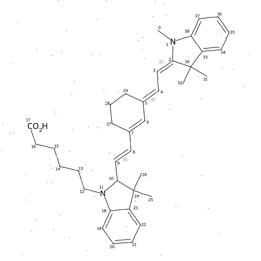 CN1/C(=C/C=C2C=C(/C=C/C3N(CCCCCC(=O)O)c4ccccc4C3(C)C)CCC/2)C(C)(C)c2ccccc21